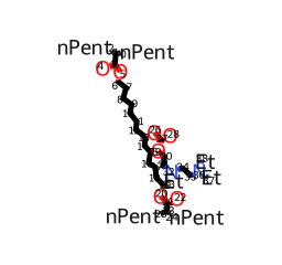 CCCCCC(CCCCC)C(=O)OCCCCCCCC(CCCCCCOC(=O)C(CCCCC)CCCCC)OC(=O)OCCN(CC)CCN(CC)CC